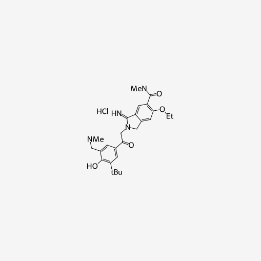 CCOc1cc2c(cc1C(=O)NC)C(=N)N(CC(=O)c1cc(CNC)c(O)c(C(C)(C)C)c1)C2.Cl